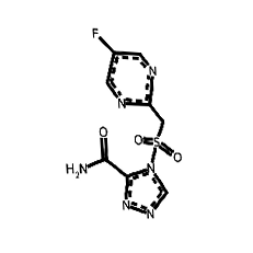 NC(=O)c1nncn1S(=O)(=O)Cc1ncc(F)cn1